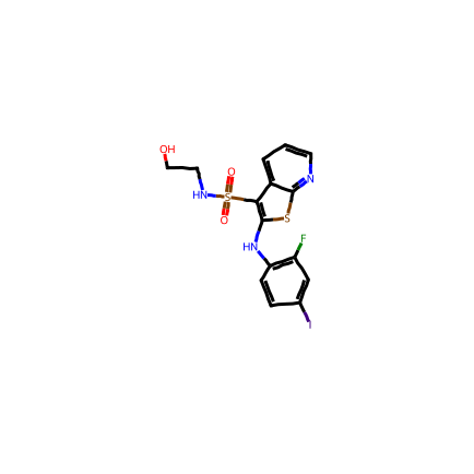 O=S(=O)(NCCO)c1c(Nc2ccc(I)cc2F)sc2ncccc12